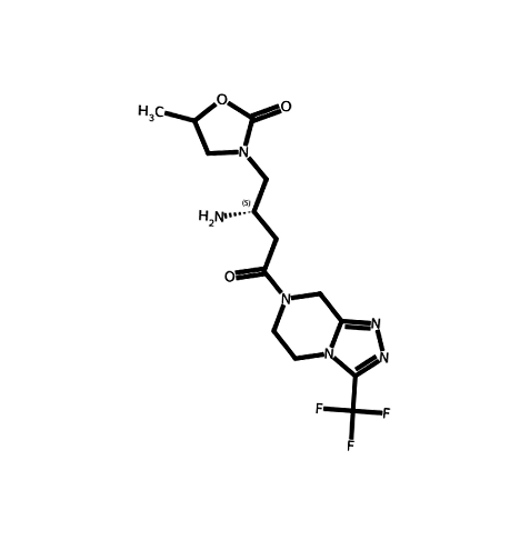 CC1CN(C[C@@H](N)CC(=O)N2CCn3c(nnc3C(F)(F)F)C2)C(=O)O1